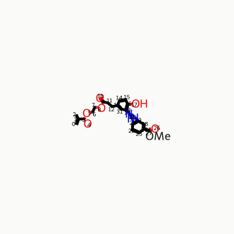 C=C(C)C(=O)OCCOC(=O)CCc1ccc(O)c(-n2n3c4ccc(C(=O)OC)cc4n23)c1